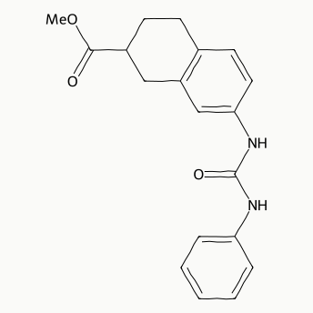 COC(=O)C1CCc2ccc(NC(=O)Nc3ccccc3)cc2C1